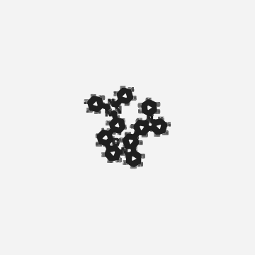 C1=CC(c2cccc(-c3nc(-c4ccccc4)nc(-c4ccccc4)n3)c2)C2Oc3c(cccc3-n3c4ccccc4c4cc(-c5ccc6c(c5)c5ccccc5n6-c5ccccc5)ccc43)C2=C1